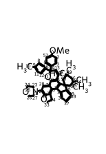 COc1ccc(C2(c3ccc(C)cc3)C=Cc3c4c(c5c6c(c(N7CCOCC7)cc5c3O2)OCC6)-c2ccccc2C42CC(C)(C)CC(C)(C)C2)cc1